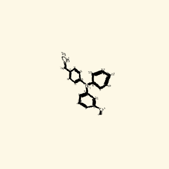 COc1cccc(N(c2ccccc2)c2ccc(CO)cc2)c1